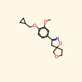 COc1cc(C2=NOC3(CCOC3)C2)ccc1OCC1CC1